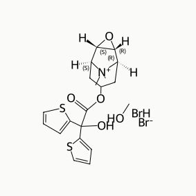 Br.CO.C[N+]1(C)[C@@H]2CC(OC(=O)C(O)(c3cccs3)c3cccs3)C[C@H]1[C@@H]1O[C@@H]12.[Br-]